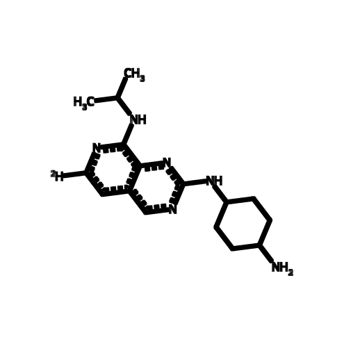 [2H]c1cc2cnc(NC3CCC(N)CC3)nc2c(NC(C)C)n1